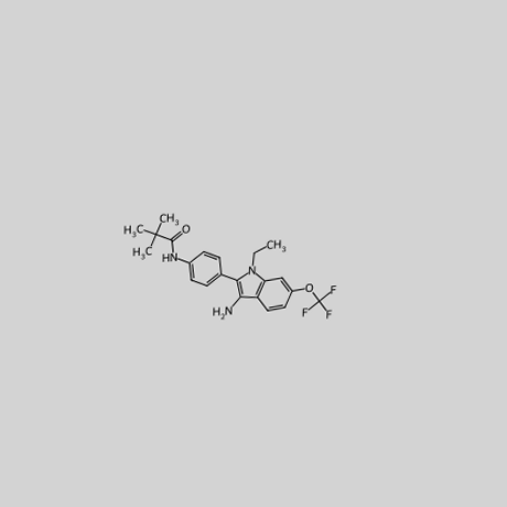 CCn1c(-c2ccc(NC(=O)C(C)(C)C)cc2)c(N)c2ccc(OC(F)(F)F)cc21